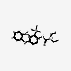 CCN(CC)C(=S)Oc1ccc2c(c1[Si](C)(C)C)Oc1ccccc1S2